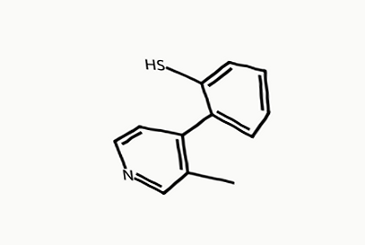 Cc1cnccc1-c1ccccc1S